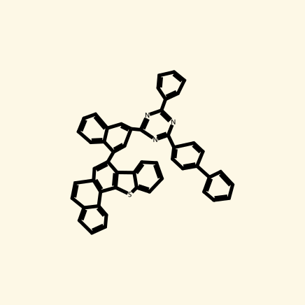 c1ccc(-c2ccc(-c3nc(-c4ccccc4)nc(-c4cc(-c5cc6ccc7ccccc7c6c6sc7ccccc7c56)c5ccccc5c4)n3)cc2)cc1